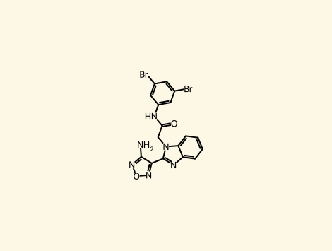 Nc1nonc1-c1nc2ccccc2n1CC(=O)Nc1cc(Br)cc(Br)c1